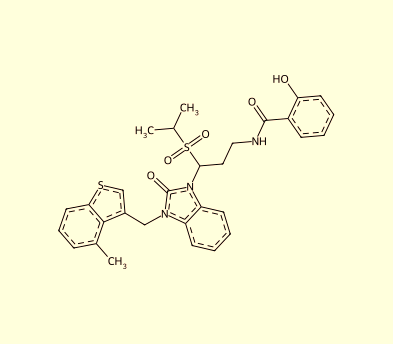 Cc1cccc2scc(Cn3c(=O)n(C(CCNC(=O)c4ccccc4O)S(=O)(=O)C(C)C)c4ccccc43)c12